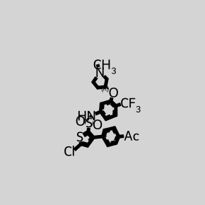 CC(=O)c1ccc(-c2cc(Cl)sc2S(=O)(=O)Nc2ccc(C(F)(F)F)c(O[C@@H]3CCN(C)C3)c2)cc1